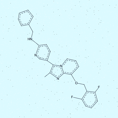 Cc1nc2c(OCc3c(F)cccc3F)cccn2c1-c1ccc(NCc2ccccc2)nc1